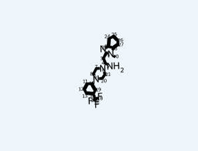 Cn1c(CC(N)N2CCN(c3cccc(C(F)(F)F)c3)CC2)nc2ccccc21